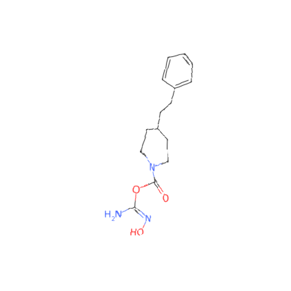 NC(=NO)OC(=O)N1CCC(CCc2ccccc2)CC1